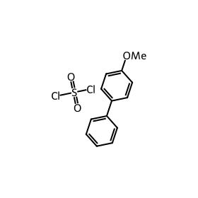 COc1ccc(-c2ccccc2)cc1.O=S(=O)(Cl)Cl